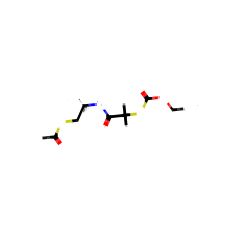 CC(=O)OCOC(=O)SC(C)(C)C(=O)N[C@@H](CSC(=O)C(C)C)C(=O)O